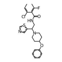 C/C=C(Cl)\C(C(=O)NCC(c1cncs1)N1CCC(Oc2ccccc2)CC1)=C(/C)F